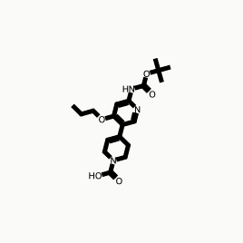 CCCOc1cc(NC(=O)OC(C)(C)C)ncc1C1=CCN(C(=O)O)CC1